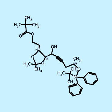 C[C@@H](CC#CC(O)[C@H]1OC(C)(C)O[C@H]1CCOC(=O)C(C)(C)C)O[Si](c1ccccc1)(c1ccccc1)C(C)(C)C